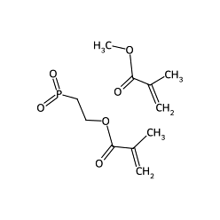 C=C(C)C(=O)OC.C=C(C)C(=O)OCCP(=O)=O